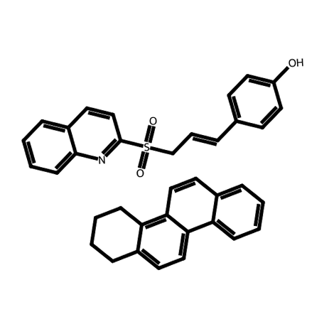 O=S(=O)(CC=Cc1ccc(O)cc1)c1ccc2ccccc2n1.c1ccc2c(c1)ccc1c3c(ccc12)CCCC3